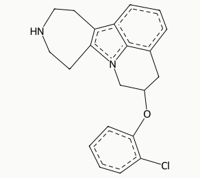 Clc1ccccc1OC1Cc2cccc3c4c(n(c23)C1)CCNCC4